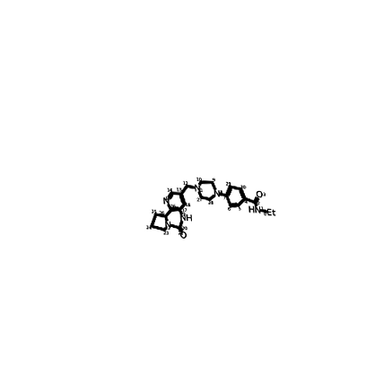 CCNC(=O)c1ccc(N2CCN(Cc3cnc4c(c3)NC(=O)N3CCCC43)CC2)cc1